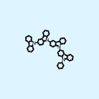 c1ccc(-n2c3ccccc3c3cc(-n4c5ccccc5c5cc(-n6c7ccccc7c7cc(-n8c9ccccc9c9ccccc98)ccc76)ccc54)ccc32)cc1